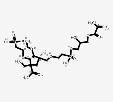 C=C(C)C(=O)OCC(O)COP(=O)(O)CCOC[C@@](C)(CC(CC)(COCCP(=O)(O)O)C(C)=O)C(=O)OCC